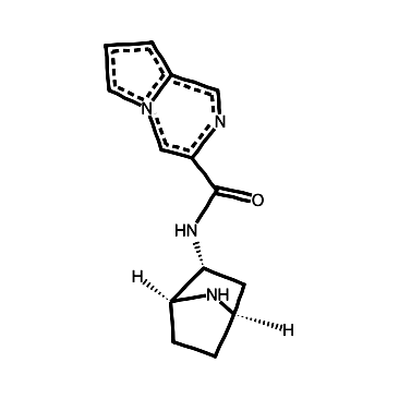 O=C(N[C@@H]1C[C@H]2CC[C@@H]1N2)c1cn2cccc2cn1